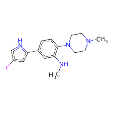 CNc1cc(-c2cc(I)c[nH]2)ccc1N1CCN(C)CC1